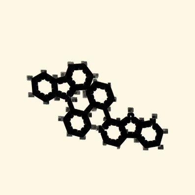 c1ccc(-c2nccc3c2oc2ncccc23)c(-c2ccccc2-n2c3ccccc3c3ccccc32)c1